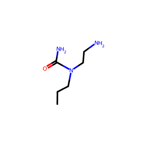 CCCN(CCN)C(N)=O